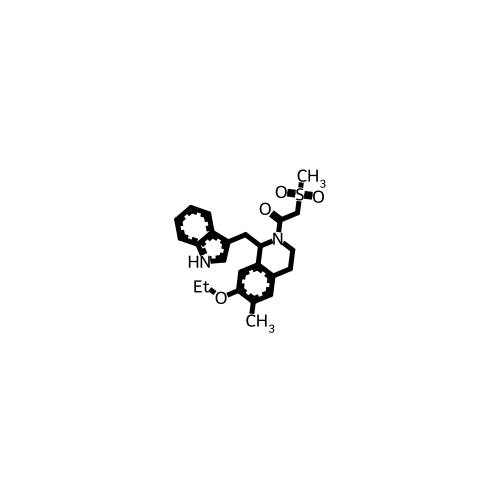 CCOc1cc2c(cc1C)CCN(C(=O)CS(C)(=O)=O)C2Cc1c[nH]c2ccccc12